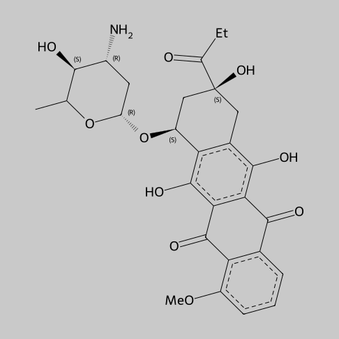 CCC(=O)[C@]1(O)Cc2c(O)c3c(c(O)c2[C@@H](O[C@H]2C[C@@H](N)[C@H](O)C(C)O2)C1)C(=O)c1c(OC)cccc1C3=O